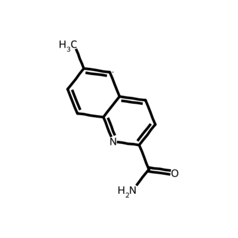 Cc1[c]c2ccc(C(N)=O)nc2cc1